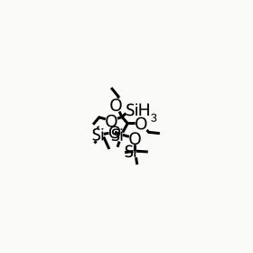 CCOC(C([SiH3])(OCC)OCC)[Si](C)(O[Si](C)(C)C)O[Si](C)(C)C